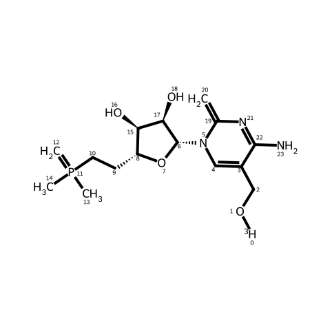 [3H]OCC1=CN([C@@H]2O[C@H](CCP(=C)(C)C)[C@@H](O)[C@H]2O)C(=C)N=C1N